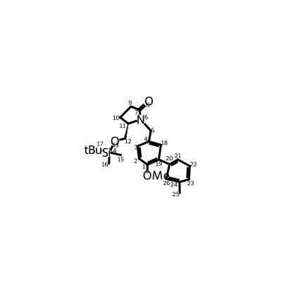 COc1ccc(CN2C(=O)CC[C@@H]2CO[Si](C)(C)C(C)(C)C)cc1-c1cccc(C)c1